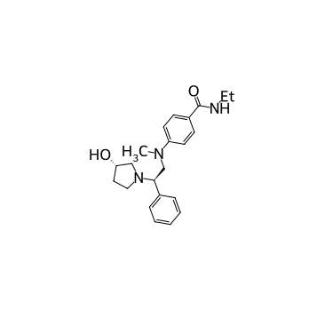 CCNC(=O)c1ccc(N(C)C[C@@H](c2ccccc2)N2CC[C@H](O)C2)cc1